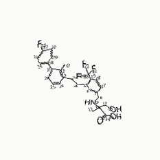 Cc1c(CCc2cc(CNC(C)(CO)C(=O)O)ccc2C(F)(F)F)cccc1-c1ccc(F)cc1